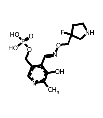 Cc1ncc(COP(=O)(O)O)c(/C=N/OCC2(F)CCNC2)c1O